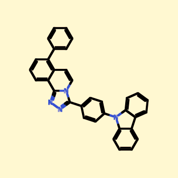 c1ccc(-c2cccc3c2ccn2c(-c4ccc(-n5c6ccccc6c6ccccc65)cc4)nnc32)cc1